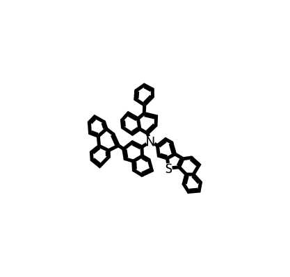 c1ccc(-c2ccc(N(c3ccc4c(c3)sc3c5ccccc5ccc43)c3cc(-c4cc5ccccc5c5ccccc45)cc4ccccc34)c3ccccc23)cc1